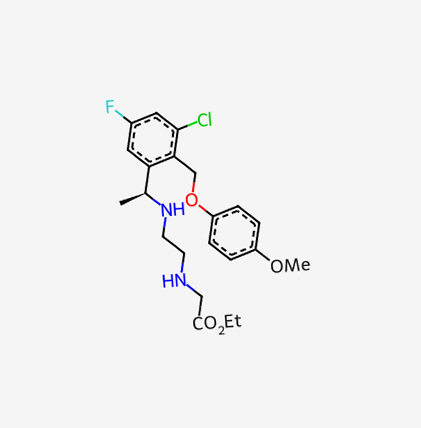 CCOC(=O)CNCCN[C@@H](C)c1cc(F)cc(Cl)c1COc1ccc(OC)cc1